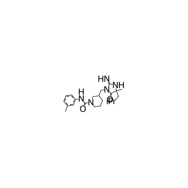 Cc1cccc(NC(=O)N2CCCC(CN3C(=N)NC(C)(CC(C)C)C3=O)C2)c1